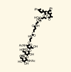 CC(=O)NC1C(O)[C@@H](O)C(CO)O[C@@H]1OC1C(O)[C@H](O[C@@H]2C(CO)O[C@@H](OCCCNC(=O)CCCCC(=O)NCCOP(=O)(O)OCC(COC(=O)C(C)C(C)/C=C\C(C)C(C)C)OC(=O)C(C)C(C)/C=C\C(C)C(C)C)C(NC(C)=O)C2O)OC(CO)[C@@H]1O